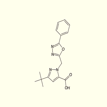 CC(C)(C)c1cc(C(=O)O)n(Cc2nnc(-c3ccccc3)o2)n1